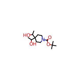 CC(O)C1(C(C)O)CCN(C(=O)OC(C)(C)C)CC1